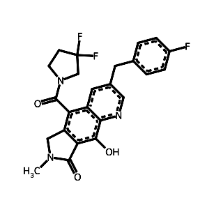 CN1Cc2c(c(O)c3ncc(Cc4ccc(F)cc4)cc3c2C(=O)N2CCC(F)(F)C2)C1=O